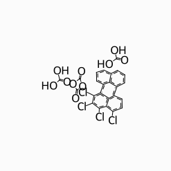 Clc1c(Cl)c2c(Cl)ccc3c4cccc5cccc(c(c1Cl)c23)c54.O=C(O)O.O=C(O)O.O=C1OC(=O)O1